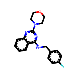 Fc1ccc(CNc2nc(N3CCOCC3)nc3ccccc23)cc1